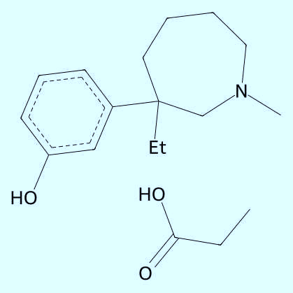 CCC(=O)O.CCC1(c2cccc(O)c2)CCCCN(C)C1